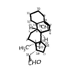 C[C@]12CC[C@H]3[C@@H](CC=C4CCCC[C@@]43C)[C@@H]1CC[C@@H]2CC=O